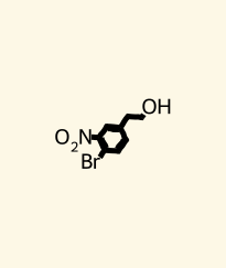 O=[N+]([O-])c1cc(CCO)ccc1Br